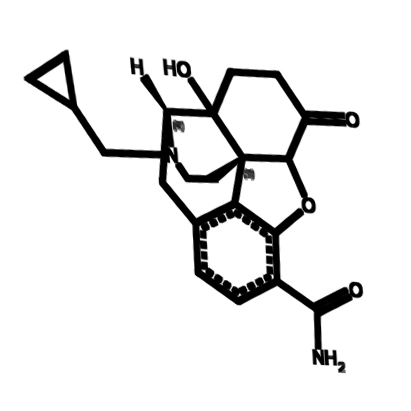 NC(=O)c1ccc2c3c1OC1C(=O)CCC4(O)[C@@H](C2)N(CC2CC2)CC[C@]314